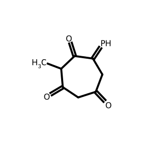 CC1C(=O)CC(=O)CC(=P)C1=O